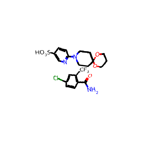 NC(=O)c1ccc(Cl)cc1C(F)(F)F.O=S(=O)(O)c1ccc(N2CCC3(CC2)OCCCO3)nc1